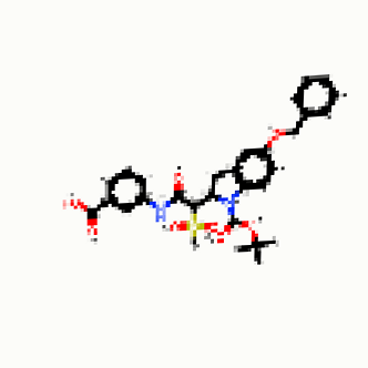 CC(C)(C)OC(=O)N1c2ccc(OCc3ccccc3)cc2CC1C(C(=O)Nc1cccc(C(=O)O)c1)S(C)(=O)=O